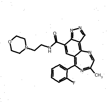 Cc1cnc2c(cc(C(=O)NCCN3CCOCC3)c3nncc32)c(-c2ccccc2F)n1